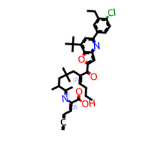 C=C=C/C=C(\N=C(/C)C(C)CC(C)(C)C/C(=C/CCC)C(=O)c1cc2nc(-c3ccc(Cl)c(CC)c3)cc(C(C)(C)C)c2o1)C(=O)O